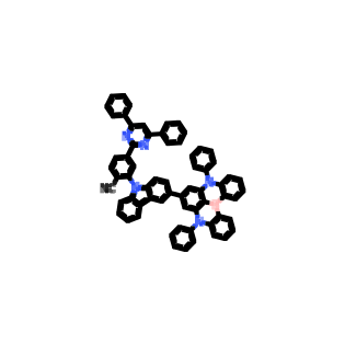 N#Cc1ccc(-c2nc(-c3ccccc3)cc(-c3ccccc3)n2)cc1-n1c2ccccc2c2cc(-c3cc4c5c(c3)N(c3ccccc3)c3ccccc3B5c3ccccc3N4c3ccccc3)ccc21